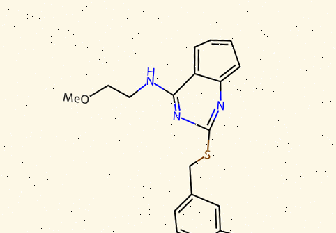 COCCNc1nc(SCc2cccc(F)c2)nc2ccccc12